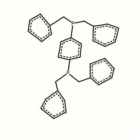 c1ccc(CP(Cc2ccccc2)c2ccc(P(Cc3ccccc3)Cc3ccccc3)cc2)cc1